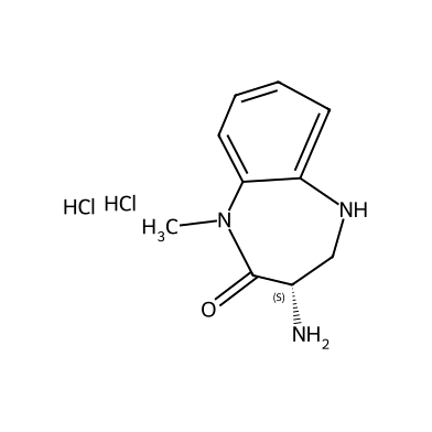 CN1C(=O)[C@@H](N)CNc2ccccc21.Cl.Cl